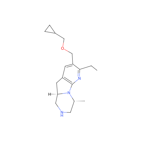 CCc1nc2c(cc1COCC1CC1)C[C@@H]1CNC[C@@H](C)N21